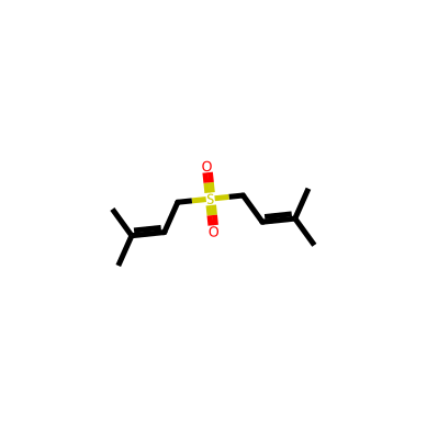 CC(C)=CCS(=O)(=O)CC=C(C)C